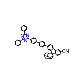 N#Cc1ccc2c(c1)-c1ccc(-c3ccc(-c4ccc(-c5nc(-c6ccccc6)nc(-c6ccccc6)n5)cc4)cc3)cc1C21C2CC3CC(C2)CC1C3